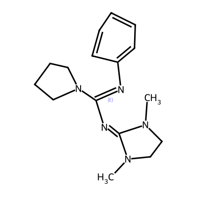 CN1CCN(C)C1=N/C(=N/c1ccccc1)N1CCCC1